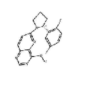 CCOc1ncnc2ccc(N3CCC[C@@H]3c3cc(F)ccc3F)nc12